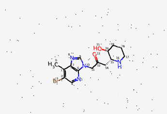 Cc1c(Br)cnc2c1ncn2CC(=O)C[C@H]1NCCC[C@@H]1O